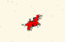 CC[C@H](C)[C@H](NC(=O)[C@H](Cc1ccc(O)cc1)NC(=O)[C@H](CC(N)=O)NC(=O)[C@@H](NC(=O)[C@H](C)NC(=O)CNC(=O)[C@H](CC(C)C)NC(=O)[C@H](Cc1ccc(O)cc1)NC(=O)[C@@H](NC(=O)[C@H](Cc1c[nH]cn1)NC(=O)[C@@H](N)Cc1c[nH]cn1)[C@@H](C)CC)C(C)C)C(=O)N[C@@H](Cc1ccc(O)cc1)C(=O)O